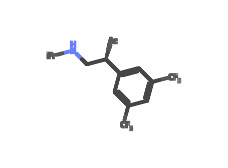 CC(=O)[C@H](CNC(C)C)c1cc(C(F)(F)F)cc(C(F)(F)F)c1